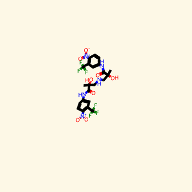 CC(O)(CNCC(C)(O)C(=O)Nc1ccc([N+](=O)[O-])c(C(F)(F)F)c1)C(=O)Nc1ccc([N+](=O)[O-])c(C(F)(F)F)c1